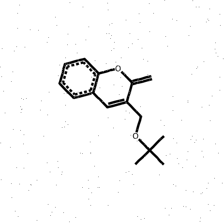 C=C1Oc2ccccc2C=C1COC(C)(C)C